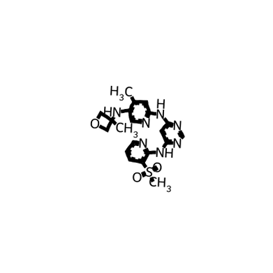 Cc1cc(Nc2cc(Nc3ncccc3S(C)(=O)=O)ncn2)ncc1NC1(C)COC1